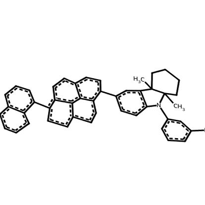 CC12CCCCC1(C)N(c1cccc(F)c1)c1ccc(-c3ccc4ccc5c(-c6cccc7ccccc67)ccc6ccc3c4c65)cc12